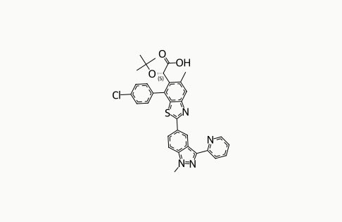 Cc1cc2nc(-c3ccc4c(c3)c(-c3ccccn3)nn4C)sc2c(-c2ccc(Cl)cc2)c1[C@H](OC(C)(C)C)C(=O)O